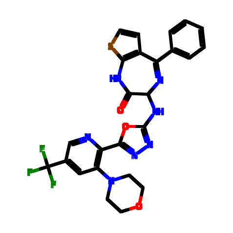 O=C1Nc2sccc2C(c2ccccc2)=NC1Nc1nnc(-c2ncc(C(F)(F)F)cc2N2CCOCC2)o1